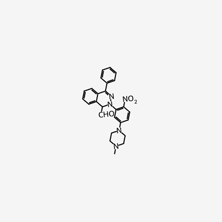 CN1CCN(c2ccc([N+](=O)[O-])c(N3N=C(c4ccccc4)c4ccccc4C3C=O)c2)CC1